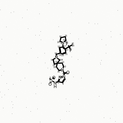 CS(=O)(=O)Nc1ccn(C(=O)N2CCC3(CCN(Cc4ccc(C(F)(F)F)c(N5CCCC5)c4)C3)CC2)n1